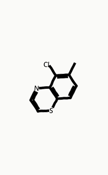 Cc1ccc2c(c1Cl)N=C=CS2